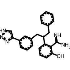 N=C(N)c1c(O)cccc1[C](Cc1ccccc1)Cc1cccc(-c2c[nH]nn2)c1